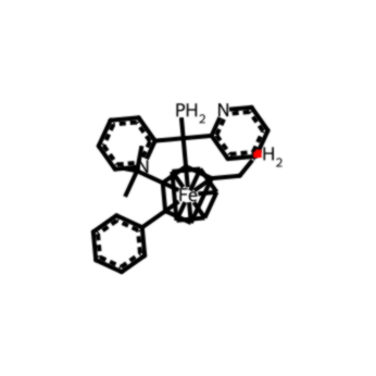 CC(C)(C)[C]12[C]3(c4ccccc4)[CH]4[C]5(CP)[C]1(C(P)(c1ccccn1)c1ccccn1)[Fe]45321678[CH]2[CH]1[CH]6[CH]7[CH]28